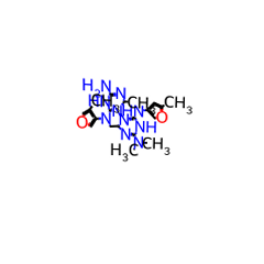 Cc1cc(NC2=NC(CN(C3=NC(C)N=C(N)N3)c3cocc3C)N=C(N(C)C)N2)co1